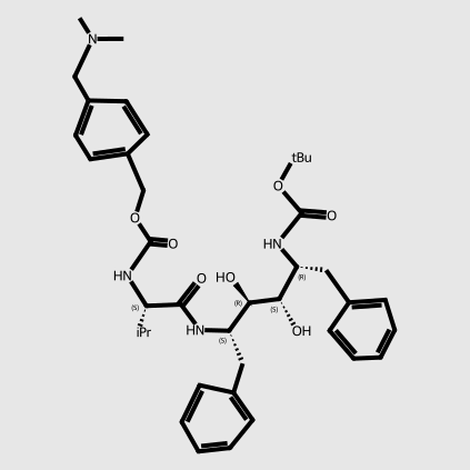 CC(C)[C@H](NC(=O)OCc1ccc(CN(C)C)cc1)C(=O)N[C@@H](Cc1ccccc1)[C@@H](O)[C@@H](O)[C@@H](Cc1ccccc1)NC(=O)OC(C)(C)C